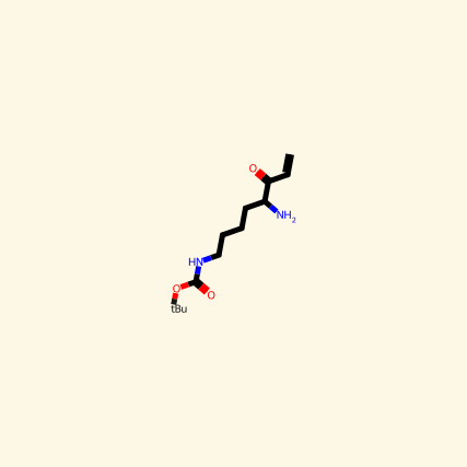 C=CC(=O)C(N)CCCCNC(=O)OC(C)(C)C